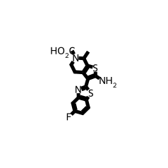 CC1c2sc(N)c(-c3nc4cc(F)ccc4s3)c2CCN1C(=O)O